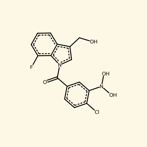 O=C(c1ccc(Cl)c(N(O)O)c1)n1cc(CO)c2cccc(F)c21